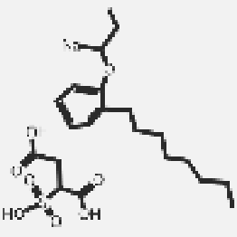 CCCCCCCCc1ccccc1O[CH]([Na])CC.O=C(O)CC(C(=O)O)S(=O)(=O)O